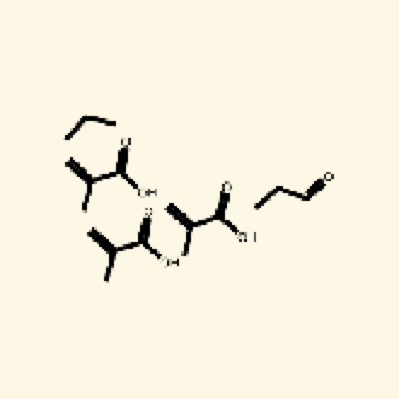 C=C(C)C(=O)O.C=C(C)C(=O)O.C=C(C)C(=O)O.CCC.CCC=O